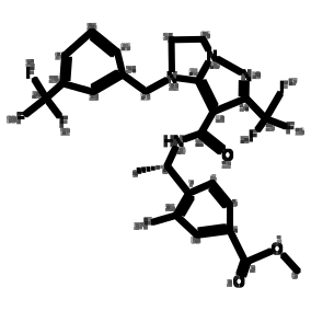 COC(=O)c1ccc([C@H](C)NC(=O)c2c(C(F)(F)F)nn3c2N(Cc2cccc(C(F)(F)F)c2)CC3)c(F)c1